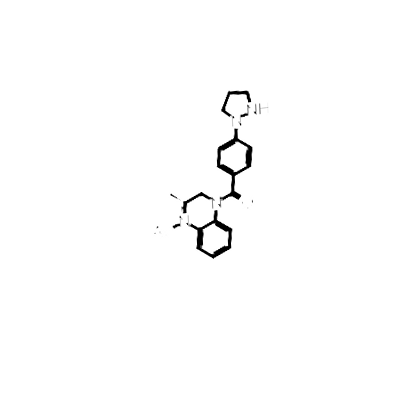 CC(=O)N1c2ccccc2N(C(=O)c2ccc(N3CCCN3)cc2)C[C@@H]1C